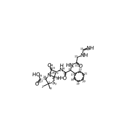 CC1(C)S[C@@H]2[C@H](NC(=O)C(NC(=O)CNC=N)c3ccccc3)C(=O)N2[C@H]1C(=O)O